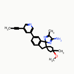 CC#Cc1cncc(-c2ccc3c(c2)C2(N=C(C)C(N)=N2)C2(CCC(C)(OC)CC2)C3)c1